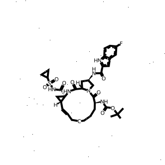 CC(C)(C)OC(=O)N[C@H]1CCCCC/C=C\[C@@H]2C[C@@]2(C(=O)NS(=O)(=O)C2CC2)NC(=O)[C@@H]2C[C@@H](NC(=O)c3cc4cc(F)ccc4[nH]3)CN2C1=O